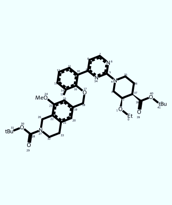 CCO[C@H]1CN(c2nccc(-c3cccc(C)c3OCc3cc4c(c(OC)c3)CN(C(=O)OC(C)(C)C)CC4)n2)CC[C@H]1C(=O)OC(C)(C)C